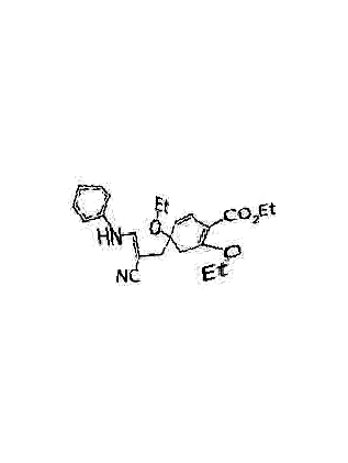 CCOC(=O)C1=C(OCC)CC(CC(C#N)=CNc2ccccc2)(OCC)C=C1